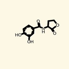 O=C(NC1CCOC1=O)c1ccc(O)c(O)c1